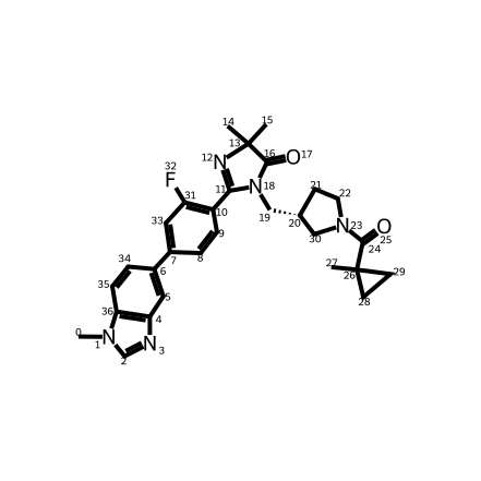 Cn1cnc2cc(-c3ccc(C4=NC(C)(C)C(=O)N4C[C@@H]4CCN(C(=O)C5(C)CC5)C4)c(F)c3)ccc21